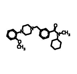 COc1ccccc1N1CCN(Cc2cccc(C(=O)N(C)C3CCCCC3)c2)CC1